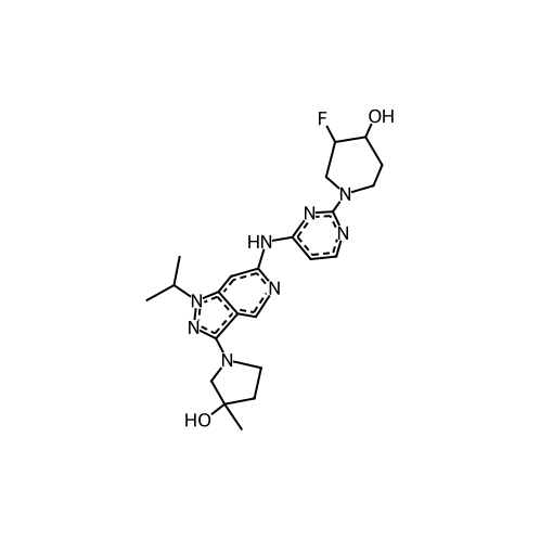 CC(C)n1nc(N2CCC(C)(O)C2)c2cnc(Nc3ccnc(N4CCC(O)C(F)C4)n3)cc21